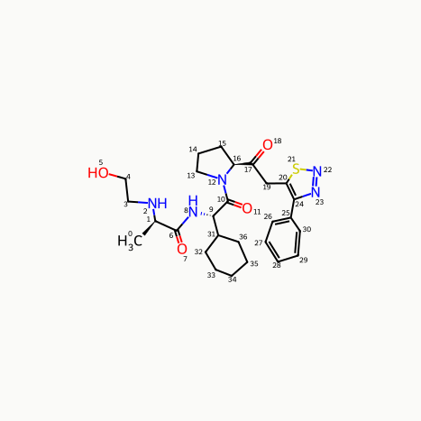 C[C@@H](NCCO)C(=O)N[C@H](C(=O)N1CCC[C@H]1C(=O)Cc1snnc1-c1ccccc1)C1CCCCC1